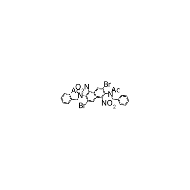 CC(=O)N(Cc1ccccc1)c1c(Br)cc2c([N+](=O)[O-])c(N(Cc3ccccc3)C(C)=O)c(Br)cc2c1[N+](=O)[O-]